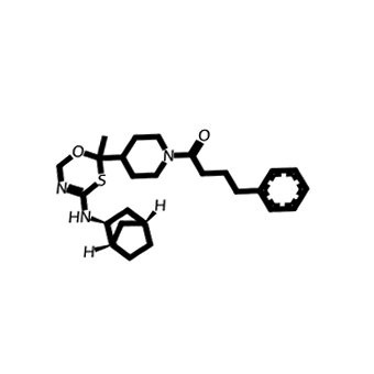 CC1(C2CCN(C(=O)CCCc3ccccc3)CC2)OCN=C(N[C@H]2C[C@@H]3CC[C@H]2C3)S1